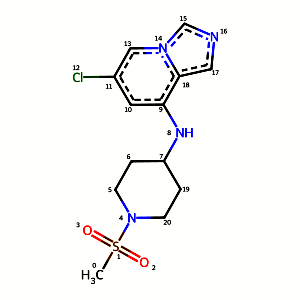 CS(=O)(=O)N1CCC(Nc2cc(Cl)cn3cncc23)CC1